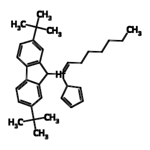 CCCCCC[CH]=[Hf]([CH]1C=CC=C1)[CH]1c2cc(C(C)(C)C)ccc2-c2ccc(C(C)(C)C)cc21